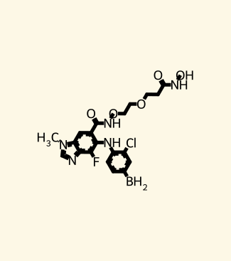 Bc1ccc(Nc2c(C(=O)NOCCOCCC(=O)NO)cc3c(ncn3C)c2F)c(Cl)c1